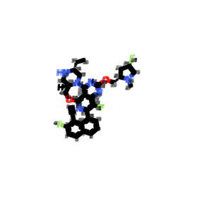 C#Cc1c(F)ccc2cccc(-c3nc4c5c(nc(OC[C@@H]6C[C@@H](F)CN6C)nc5c3F)N3C[C@@H](CC)NC[C@H]3CO4)c12